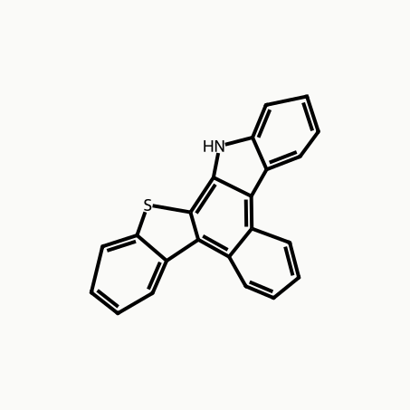 c1ccc2c(c1)[nH]c1c3sc4ccccc4c3c3ccccc3c21